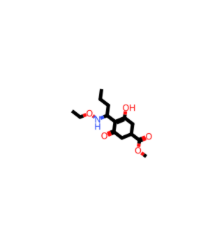 CCCC(NOCC)C1=C(O)CC(C(=O)OC)CC1=O